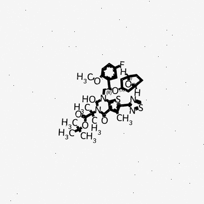 COc1ccc(F)cc1[C@H](CN1c2sc(-c3ncsn3)c(C)c2C(=O)N(C(C)(C)C(=O)OC(C)(C)C)C1O)O[C@@H]1C[C@H]2CC[C@@H](C1)O2